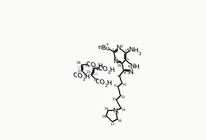 CCCCc1nc(N)c2[nH]nc(CCCCCCN3CCCC3)c2n1.O=C(O)/C=C\C(=O)O.O=C(O)/C=C\C(=O)O